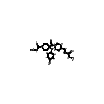 CC(C)(C)OC(=O)N1CCC(Oc2ccc(Cl)cc2)(C(=O)N2CCC(CNC(=O)CCl)CC2)CC1